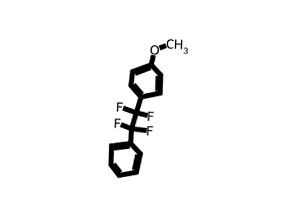 COc1ccc(C(F)(F)C(F)(F)c2ccccc2)cc1